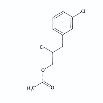 CC(=O)OCC(Cl)Cc1cccc(Cl)c1